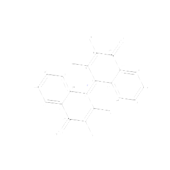 CC1=C(C)/C(=C2/C(C)=C(C)C(=O)c3ccccc32)c2ccccc2C1=O